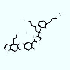 COC(=O)CCc1cccc(C(C)(CCCCO)c2cnc(-c3cc(Oc4c(F)cc5[nH]ccc5c4CCC(=O)O)ccc3F)[nH]2)c1F